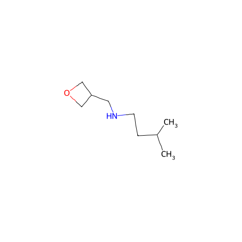 CC(C)CCNCC1COC1